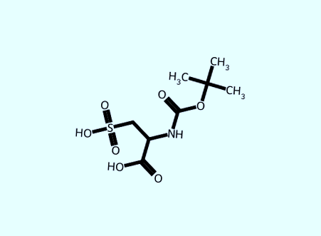 CC(C)(C)OC(=O)NC(CS(=O)(=O)O)C(=O)O